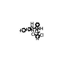 CC(ON1Nc2ccccc2C1c1nc2c([nH]1)CN(C1CCN(C)CC1)C2)c1c(Cl)cncc1Cl